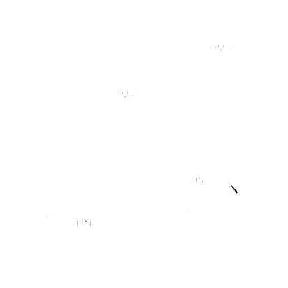 COc1cccc(OC)c1-c1ccc(C[C@H](NC(=O)c2c(Cl)cc(NS(=O)(=O)c3cccs3)cc2Cl)C(=O)O)cc1